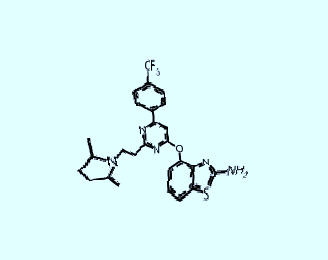 CC1CCC(C)N1CCc1nc(Oc2cccc3sc(N)nc23)cc(-c2ccc(C(F)(F)F)cc2)n1